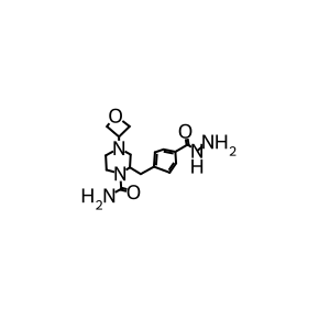 NNC(=O)c1ccc(CC2CN(C3COC3)CCN2C(N)=O)cc1